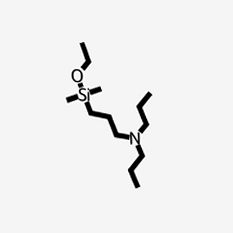 CCCN(CCC)CCC[Si](C)(C)OCC